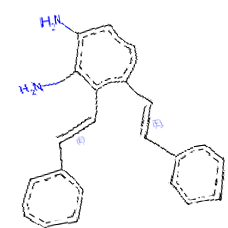 Nc1ccc(/C=C/c2ccccc2)c(/C=C/c2ccccc2)c1N